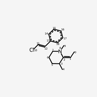 CC=C1C(C)CCCN1C.ClC=Cc1ccccc1